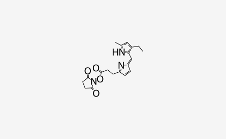 CCc1cc(C)[nH]c1/C=C1/C=CC(CCC(=O)ON2C(=O)CCC2=O)=N1